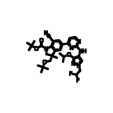 CC(C)Oc1nn(CC(F)F)cc1Nc1nccc(-c2cc(C#N)c3c(c2)C(C)(COC(C)(C)C)CN3C(=O)OC(C)(C)C)n1